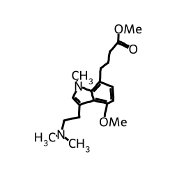 COC(=O)CCCc1ccc(OC)c2c(CCN(C)C)cn(C)c12